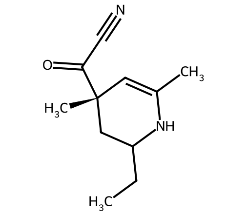 CCC1C[C@](C)(C(=O)C#N)C=C(C)N1